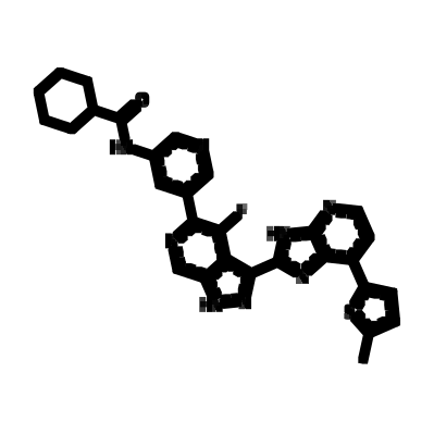 Cc1ccc(-c2ccnc3[nH]c(-c4n[nH]c5cnc(-c6cncc(NC(=O)C7CCCCC7)c6)c(F)c45)nc23)s1